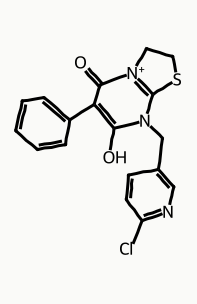 O=c1c(-c2ccccc2)c(O)n(Cc2ccc(Cl)nc2)c2[n+]1CCS2